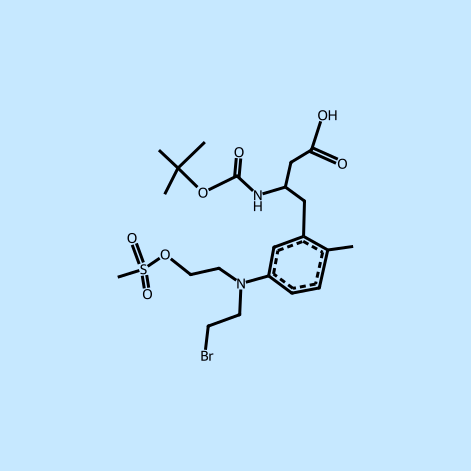 Cc1ccc(N(CCBr)CCOS(C)(=O)=O)cc1CC(CC(=O)O)NC(=O)OC(C)(C)C